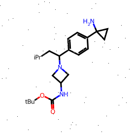 CC(C)CC(c1ccc(C2(N)CC2)cc1)N1CC(NC(=O)OC(C)(C)C)C1